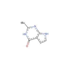 CC(C)(C)c1nc2[nH]ccc2c(=O)[nH]1